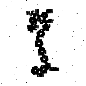 CNc1nn(C2CCN(c3ncc(C4CCN(CC5CCN(c6cc(C(C(=O)N7C[C@H](O)C[C@H]7C(=O)N[C@@H](C)c7ccc(-c8scnc8C)cc7)C(C)C)on6)CC5)CC4)cn3)CC2)c2cc(-c3ccccc3O)nnc12